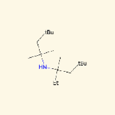 CCC(C)(CC(C)(C)C)NC(C)(C)CC(C)(C)C